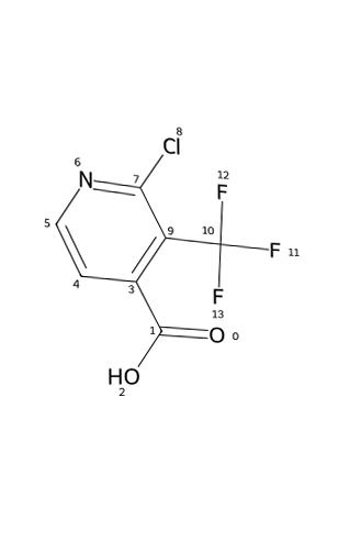 O=C(O)c1ccnc(Cl)c1C(F)(F)F